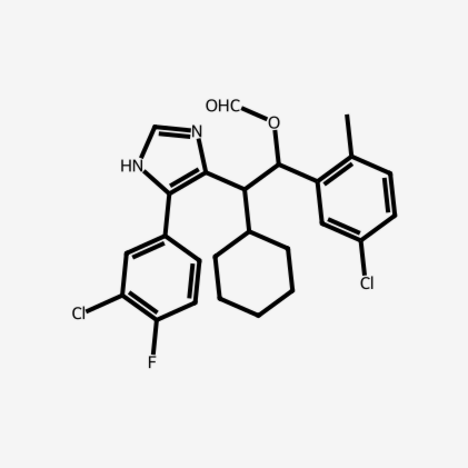 Cc1ccc(Cl)cc1C(OC=O)C(c1nc[nH]c1-c1ccc(F)c(Cl)c1)C1CCCCC1